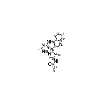 C=CC(=O)N[C@@H]1Cn2c(c(-c3cnc4ccccc4c3)c3c(N)ncnc32)C1C